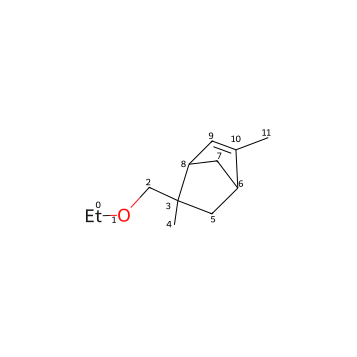 CCOCC1(C)CC2CC1C=C2C